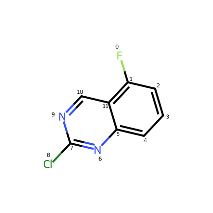 Fc1cccc2nc(Cl)ncc12